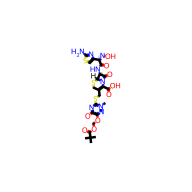 Cn1nc(OCOC(=O)C(C)(C)C)c(=O)nc1SCC1=C(C(=O)O)N2C(=O)[C@@H](NC(=O)/C(=N\O)c3csc(N)n3)[C@H]2SC1